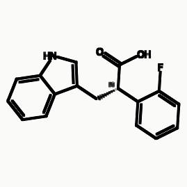 O=C(O)[C@@H](Cc1c[nH]c2ccccc12)c1ccccc1F